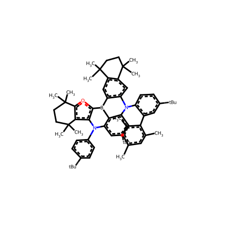 Cc1cc(C)c(-c2cc(C(C)(C)C)ccc2N2c3cc4c(cc3B3c5oc6c(c5N(c5ccc(C(C)(C)C)cc5)c5cc(C(C)(C)C)cc2c53)C(C)(C)CCC6(C)C)C(C)(C)CCC4(C)C)c(C)c1